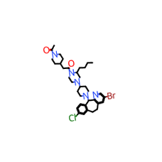 CCCCC1CN(C2CCN(C3c4ccc(Cl)cc4CCc4cc(Br)cnc43)CC2)CCN1C(=O)CC1CCN(C(C)=O)CC1